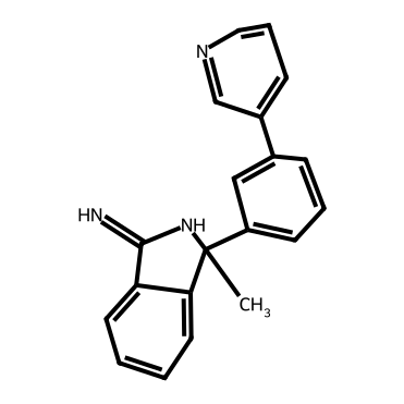 CC1(c2cccc(-c3cccnc3)c2)NC(=N)c2ccccc21